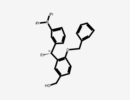 CC[C@H](c1cccc(N(C(C)C)C(C)C)c1)c1cc(CO)ccc1OCc1ccccc1